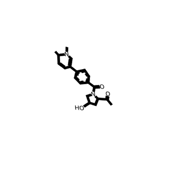 CC(=O)C1CC(O)CN1C(=O)c1ccc(C2=CN(C)C(C)C=C2)cc1